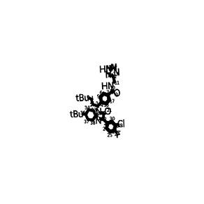 CC(C)(C)CCC(c1ccc(C(=O)NCc2nn[nH]n2)cc1)N1C(=O)C(c2ccc(F)c(Cl)c2)=NC12CCC(C(C)(C)C)CC2